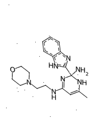 CC1=CC(NCCN2CCOCC2)=NC(N)(c2nc3ccccc3[nH]2)N1